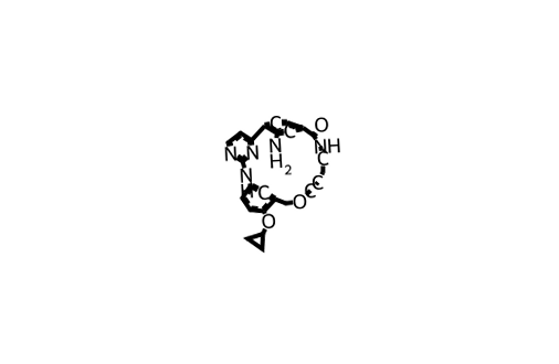 Nc1cc2ccc1-c1ccnc(n1)Nc1ccc(OC3CC3)c(c1)COCCCCNC2=O